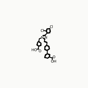 O=C(O)c1ccc(Cn2cc(-c3ccc(Cl)cc3Cl)nc2C=Cc2ccc(-c3cccc(C(=O)O)c3)cc2)cc1